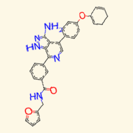 Nc1n[nH]c2c(-c3cccc(C(=O)NCc4ccco4)c3)ncc(-c3ccc(OC4=CCCC=C4)cc3)c12